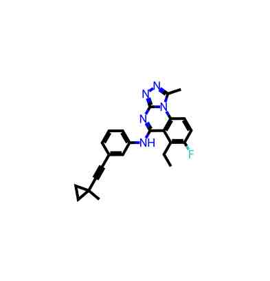 CCc1c(F)ccc2c1c(Nc1cccc(C#CC3(C)CC3)c1)nc1nnc(C)n12